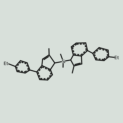 CCc1ccc(-c2cccc3c2C=C(C)C3[Si](C)(C)C2C(C)=Cc3c(-c4ccc(CC)cc4)cccc32)cc1